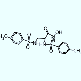 Cc1ccc(S(=O)(=O)NCC(NS(=O)(=O)c2ccc(C)cc2)C(=O)NO)cc1